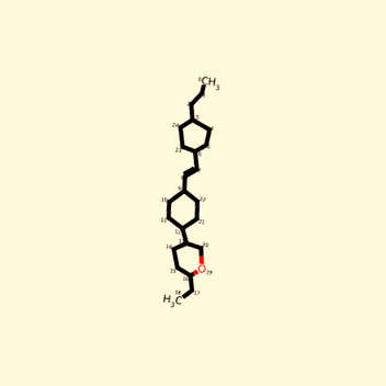 CCCC1CCC(/C=C/C2CCC(C3CCC(CC)OC3)CC2)CC1